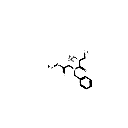 CC[C@@H](N)C(=O)N(Cc1ccccc1)[C@@H](C)C(=O)OC